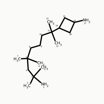 CC(C)(N)CC(C)(C)CCCC(C)(C)C1CC(N)C1